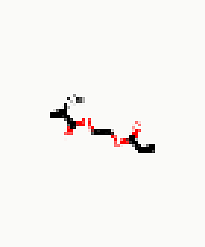 C=CC(=O)OCCOC(=O)C(=C)CCCC